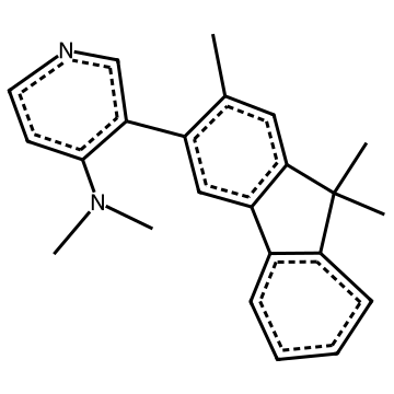 Cc1cc2c(cc1-c1cnccc1N(C)C)-c1ccccc1C2(C)C